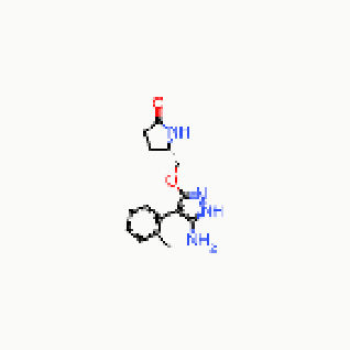 Cc1ccccc1-c1c(OC[C@@H]2CCC(=O)N2)n[nH]c1N